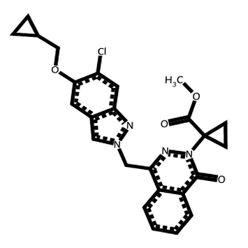 COC(=O)C1(n2nc(Cn3cc4cc(OCC5CC5)c(Cl)cc4n3)c3ccccc3c2=O)CC1